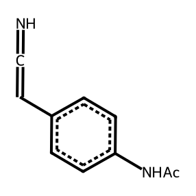 CC(=O)Nc1ccc(C=C=N)cc1